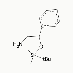 CC(C)(C)[Si](C)(C)OC(CN)c1ccccc1